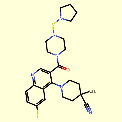 CC1(C#N)CCN(c2c(C(=O)N3CCN(SN4CCCC4)CC3)cnc3ccc(F)cc23)CC1